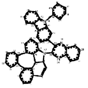 C1=CC2C3c4c1cccc4-c1ccccc1-c1cccc(c13)N2c1nc2ccccc2nc1-c1ccc2c3ccccc3n(-c3ccccc3)c2c1